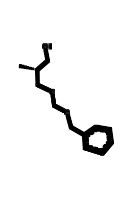 C[C@H](CO)COCOCc1ccccc1